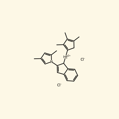 CC1=C(C)C(C)=[C]([Hf+2][CH]2C(n3cc(C)cc3C)=Cc3ccccc32)C1.[Cl-].[Cl-]